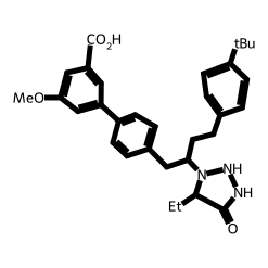 CCC1C(=O)NNN1C(CCc1ccc(C(C)(C)C)cc1)Cc1ccc(-c2cc(OC)cc(C(=O)O)c2)cc1